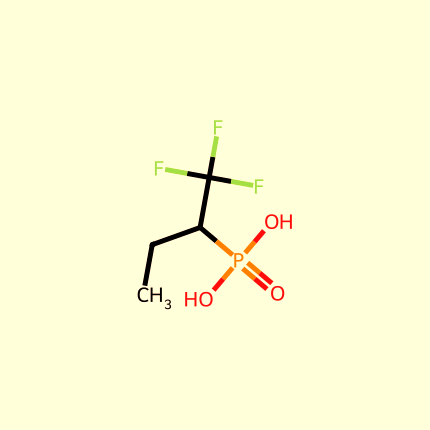 CCC(C(F)(F)F)P(=O)(O)O